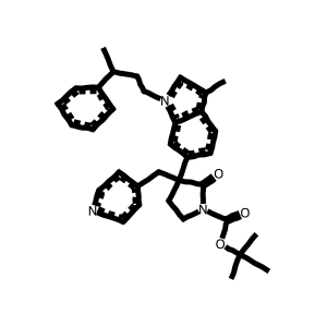 Cc1cn(CCC(C)c2ccccc2)c2cc(C3(Cc4ccncc4)CCN(C(=O)OC(C)(C)C)C3=O)ccc12